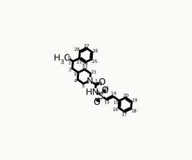 CC(CC1CCN(C(=O)NS(=O)(=O)C=Cc2ccccc2)CC1)c1ccccc1